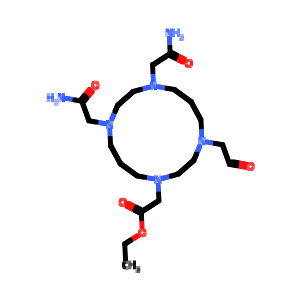 CCOC(=O)CN1CCCN(CC(N)=O)CCN(CC(N)=O)CCCN(CC=O)CC1